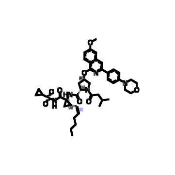 CCCC/C=C\[C@@H]1C[C@]1(NC(=O)[C@@H]1C[C@@H](Oc2nc(-c3ccc(N4CCOCC4)cc3)cc3cc(OC)ccc23)CN1C(=O)CC(C)C)C(=O)NS(=O)(=O)C1CC1